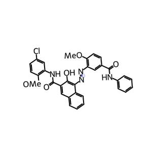 COc1ccc(C(=O)Nc2ccccc2)cc1/N=N/c1c(O)c(C(=O)Nc2cc(Cl)ccc2OC)cc2ccccc12